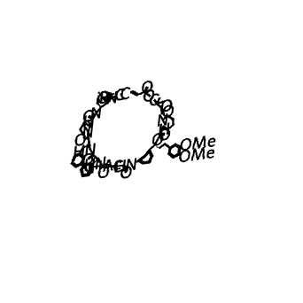 COc1ccc(CC[C@H]2OC(=O)[C@@H]3CCCCN3C(=O)C(=O)C(C)(C)COC(=O)/C=C/CCN(C)C(=O)[C@H](CC(C)C)N(C)C(=O)[C@H]3CCCN3C(=O)[C@H](Cc3cccc(NC(C)=O)c3)NC(=O)[C@H](c3ccccc3)NC(=O)CCC(=O)Nc3cccc2c3)cc1OC